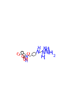 N=C(N)NCCNC1CCC(CC(=O)N[C@H]2Cc3cccc(C=O)c3OB2O)CC1